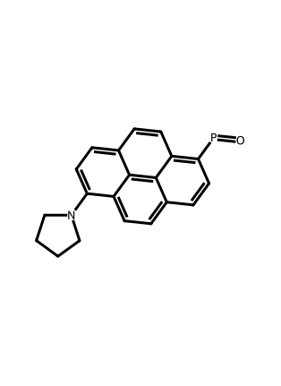 O=Pc1ccc2ccc3c(N4CCCC4)ccc4ccc1c2c43